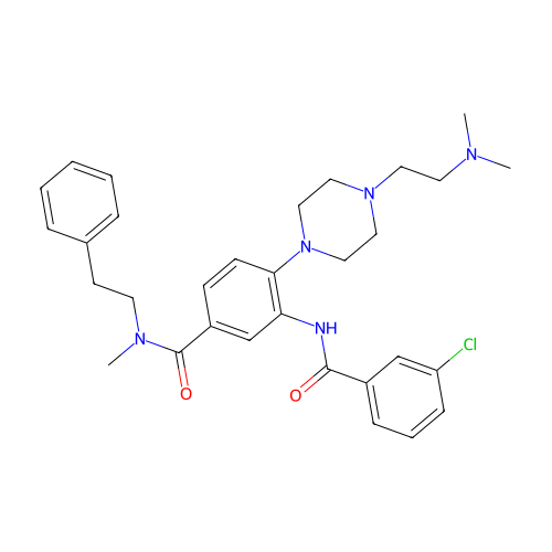 CN(C)CCN1CCN(c2ccc(C(=O)N(C)CCc3ccccc3)cc2NC(=O)c2cccc(Cl)c2)CC1